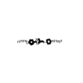 CCCCCCC[C@H]1CC[C@H](CCc2cnc(-c3ccc(OCCCCCC)cc3)nc2)CC1